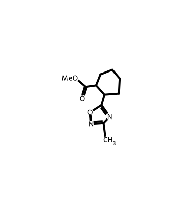 COC(=O)C1CCCCC1c1nc(C)no1